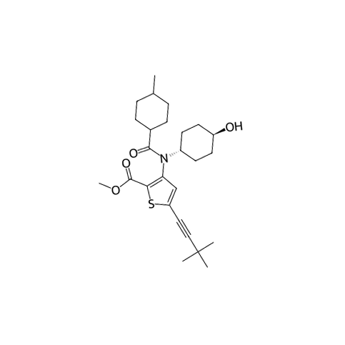 COC(=O)c1sc(C#CC(C)(C)C)cc1N(C(=O)C1CCC(C)CC1)[C@H]1CC[C@H](O)CC1